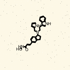 O=C(/C=C/c1ccc2c(c1)CCC2N(CCc1c[nH]c2ccccc12)Cc1ccc[nH]1)NO